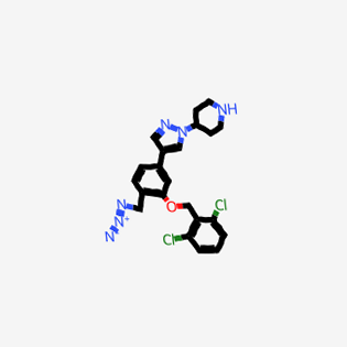 [N-]=[N+]=NCc1ccc(-c2cnn(C3CCNCC3)c2)cc1OCc1c(Cl)cccc1Cl